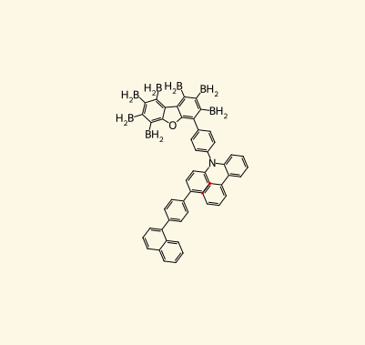 Bc1c(B)c(B)c2c(oc3c(-c4ccc(N(c5ccc(-c6ccc(-c7cccc8ccccc78)cc6)cc5)c5ccccc5-c5ccccc5)cc4)c(B)c(B)c(B)c32)c1B